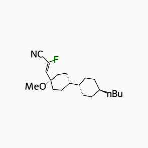 CCCC[C@H]1CC[C@H]([C@H]2CC[C@@](C=C(F)C#N)(OC)CC2)CC1